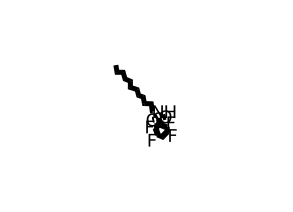 CCCCCCCCCCCCNS(=O)(=O)c1c(F)c(F)cc(F)c1F